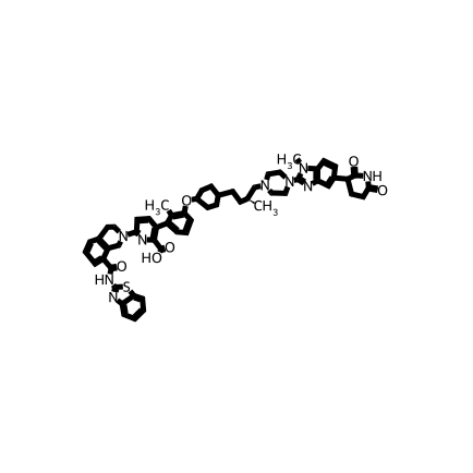 Cc1c(OC2CCC(CC[C@@H](C)CN3CCN(c4nc5cc(C6CCC(=O)NC6=O)ccc5n4C)CC3)CC2)cccc1-c1ccc(N2CCc3cccc(C(=O)Nc4nc5ccccc5s4)c3C2)nc1C(=O)O